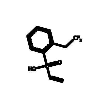 C=CP(=O)(O)c1ccccc1CC(F)(F)F